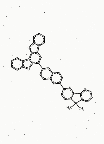 CC1(C)c2cccnc2-c2nc(-c3ccc4cc(-c5cc6c7ccccc7oc6c6c5oc5ccccc56)ccc4c3)ccc21